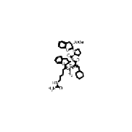 CN[C@@H](Cc1ccccc1)C(=O)N1CCC[C@H]1C(=O)N(C(=O)[C@H](N)CC1CCCCC1)[C@]([C]=O)(Cc1ccccc1)C(=O)[C@@H](N)CCCCNC(N)=O